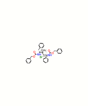 CC(=O)O[C@@H]([C@@H](Br)[C@@](C)(NC(=O)OCc1ccccc1)c1ccccc1)[C@@H](Cc1ccccc1)NC(=O)OCc1ccccc1